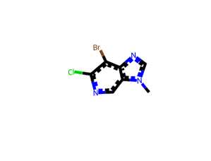 Cn1cnc2c(Br)c(Cl)ncc21